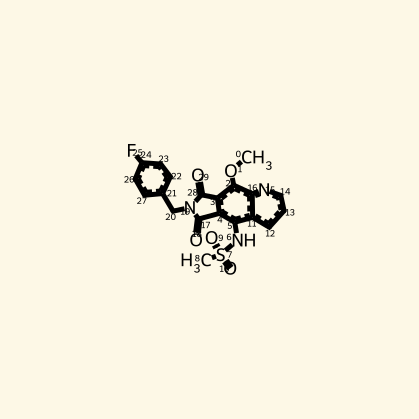 COc1c2c(c(NS(C)(=O)=O)c3cccnc13)C(=O)N(Cc1ccc(F)cc1)C2=O